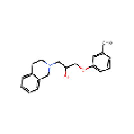 O=Cc1cccc(OCC(O)CN2CCc3ccccc3C2)c1